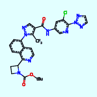 CC(C)(C)OC(=O)N1CCC1c1nccc2c(-n3ncc(C(=O)Nc4cnc(-n5nccn5)c(Cl)c4)c3C(F)(F)F)cccc12